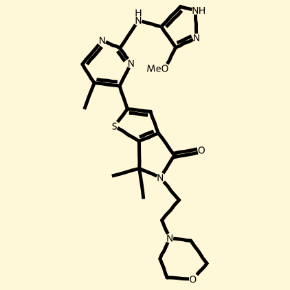 COc1n[nH]cc1Nc1ncc(C)c(-c2cc3c(s2)C(C)(C)N(CCN2CCOCC2)C3=O)n1